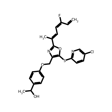 C=C/C(F)=C\C=C(/C)c1nc(COc2ccc(C(C)O)cc2)c(Sc2ccc(Cl)cn2)o1